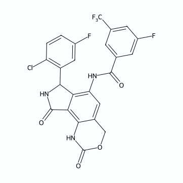 O=C1Nc2c(cc(NC(=O)c3cc(F)cc(C(F)(F)F)c3)c3c2C(=O)NC3c2cc(F)ccc2Cl)CO1